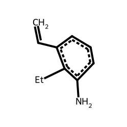 C=Cc1cccc(N)c1CC